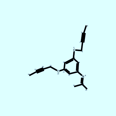 CC#CCOc1cc(N=C(C)C)cc(OCC#CC)c1